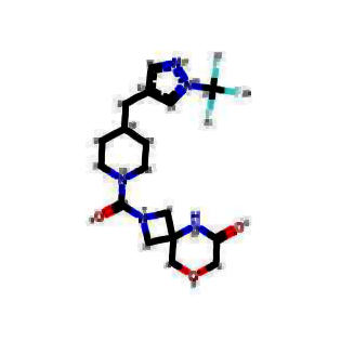 O=C1COCC2(CN(C(=O)N3CCC(Cc4cnn(C(F)(F)F)c4)CC3)C2)N1